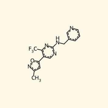 Cc1cc(-c2cnc(NCc3cccnc3)nc2C(F)(F)F)on1